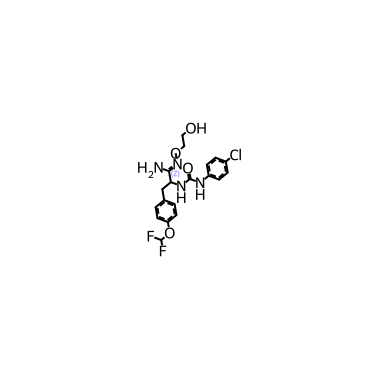 N/C(=N\OCCO)C(Cc1ccc(OC(F)F)cc1)NC(=O)Nc1ccc(Cl)cc1